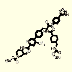 Cc1cc(C(=O)NC2CCN(C(=O)OC(C)(C)C)CC2F)ncc1-c1ccc(C[C@H](NC(=O)C2CCC(CNC(=O)OC(C)(C)C)CC2)C(=O)Nc2ccc(-c3nnn[nH]3)cc2)cc1